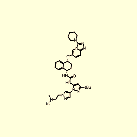 CCN(C)CCn1cc(-n2nc(C(C)(C)C)cc2NC(=O)N[C@H]2CC[C@@H](Oc3ccc4nnc(N5CCCCC5)n4c3)c3ccccc32)cn1